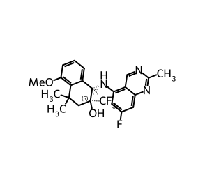 COc1cccc2c1C(C)(C)C[C@@](O)(C(F)(F)F)[C@H]2Nc1cc(F)cc2nc(C)ncc12